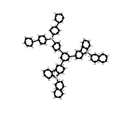 c1ccc(-c2ccc(N(c3ccc(-c4ccccc4)cc3)c3ccc(-c4cc(-c5ccc6c(c5)c5ccccc5n6-c5ccc6ccccc6c5)cc(-c5ccc6c(c5)c5ccccc5n6-c5ccc6ccccc6c5)c4)cc3)cc2)cc1